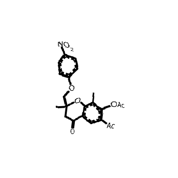 CC(=O)Oc1c(C(C)=O)cc2c(c1C)OC(C)(COc1ccc([N+](=O)[O-])cc1)CC2=O